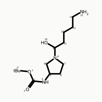 CC(C)(C)OC(=O)NC1CCN(C(O)CCCCN)C1